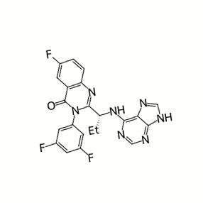 CC[C@@H](Nc1ncnc2[nH]cnc12)c1nc2ccc(F)cc2c(=O)n1-c1cc(F)cc(F)c1